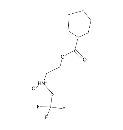 O=C(OCC[NH+]([O-])SC(F)(F)F)C1CCCCC1